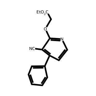 CCOC(=O)COc1nccc(-c2ccccc2)c1C#N